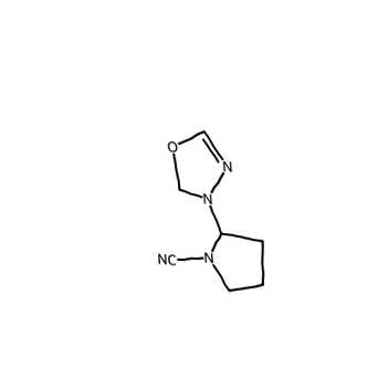 N#CN1CCCC1N1COC=N1